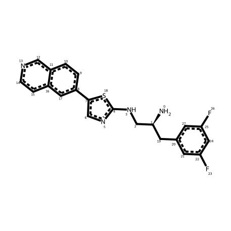 N[C@H](CNc1ncc(-c2ccc3cnccc3c2)s1)Cc1cc(F)cc(F)c1